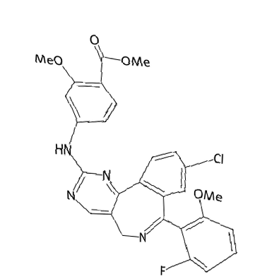 COC(=O)c1ccc(Nc2ncc3c(n2)-c2ccc(Cl)cc2C(c2c(F)cccc2OC)=NC3)cc1OC